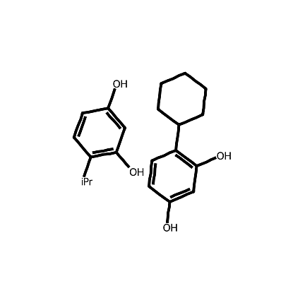 CC(C)c1ccc(O)cc1O.Oc1ccc(C2CCCCC2)c(O)c1